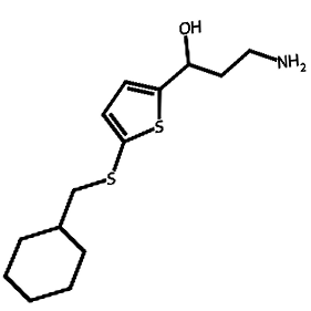 NCCC(O)c1ccc(SCC2CCCCC2)s1